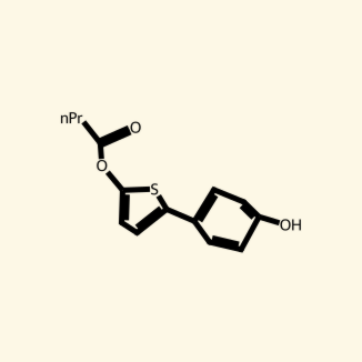 CCCC(=O)Oc1ccc(-c2ccc(O)cc2)s1